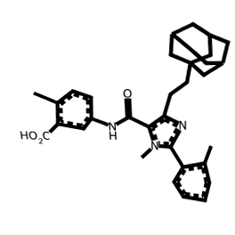 Cc1ccc(NC(=O)c2c(CCC34CC5CC(CC(C5)C3)C4)nc(-c3ccccc3C)n2C)cc1C(=O)O